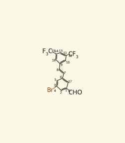 O=Cc1cc(Br)cc(/C=C/c2cc(C(F)(F)F)cc(C(F)(F)F)c2)c1